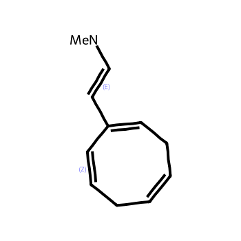 CN/C=C/C1=CCC=CC/C=C\1